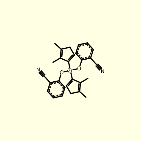 CC1=C(C)[C]([Zr]([O]c2ccccc2C#N)([O]c2ccccc2C#N)[C]2=CCC(C)=C2C)=CC1